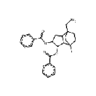 CC12CCC(CP)(CC1)C1CC(OC(=O)c3ccccc3)C(OC(=O)c3ccccc3)C12